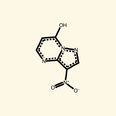 O=[N+]([O-])c1cnn2c(O)ccnc12